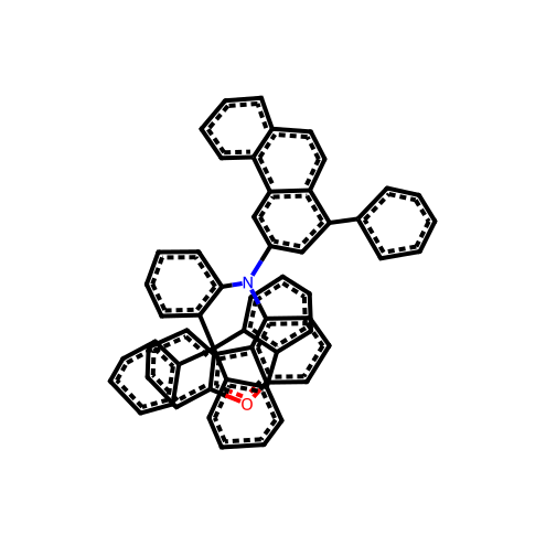 c1ccc(-c2cc(N(c3ccccc3C3(c4ccccc4)c4ccccc4-c4ccccc43)c3cccc4oc5ccccc5c34)cc3c2ccc2ccccc23)cc1